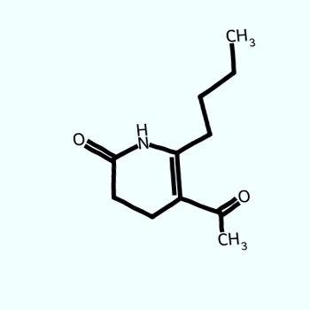 CCCCC1=C(C(C)=O)CCC(=O)N1